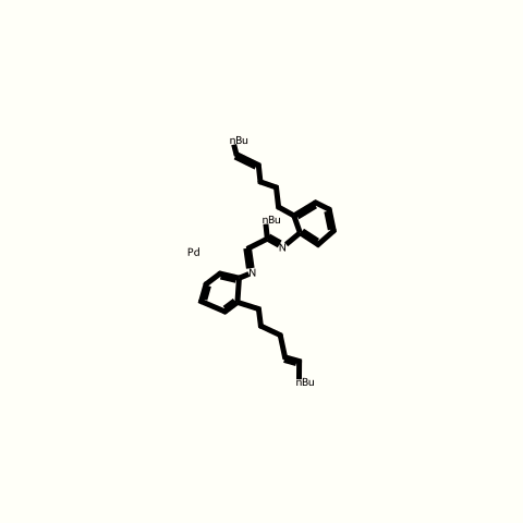 CCCCC=CCCCc1ccccc1N=CC(CCCC)=Nc1ccccc1CCCC=CCCCC.[Pd]